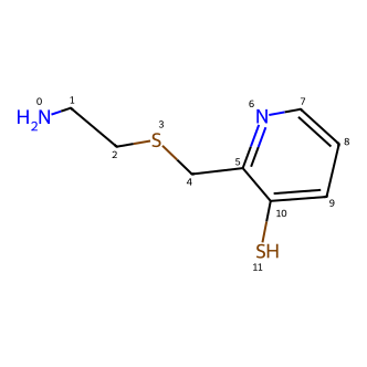 NCCSCc1ncccc1S